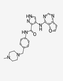 CN1CCN(Cc2ccc(NC(=O)c3n[nH]cc3Nc3ncnc4ccoc34)cc2)CC1